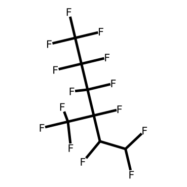 FC(F)C(F)C(F)(C(F)(F)F)C(F)(F)C(F)(F)C(F)(F)F